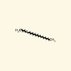 CCCCCCCCCCCCCCCCC[CH]SCCCCC